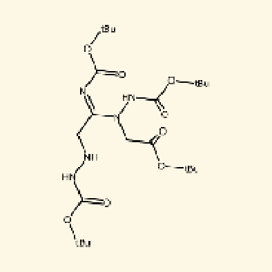 CC(C)(C)OC(=O)CN(NC(=O)OC(C)(C)C)/C(CNNC(=O)OC(C)(C)C)=N\C(=O)OC(C)(C)C